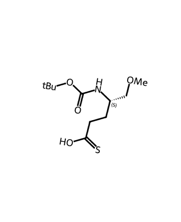 COC[C@H](CCC(O)=S)NC(=O)OC(C)(C)C